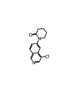 O=C1CCCCN1c1ccc2cncc(Cl)c2c1